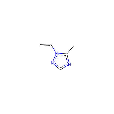 C=Cn1ncnc1C